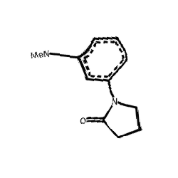 CNc1cccc(N2CCCC2=O)c1